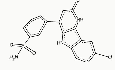 NS(=O)(=O)c1cccc(-c2cc(=O)[nH]c3c2[nH]c2ccc(Cl)cc23)c1